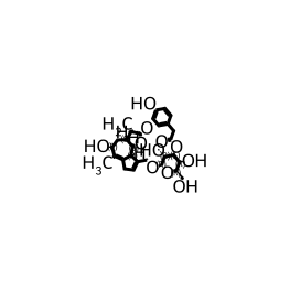 C=C1C(=O)O[C@@H]2[C@H]3C(CO[C@@H]4O[C@H](CO)[C@@H](O)[C@H](OC(=O)Cc5ccc(O)cc5)[C@H]4O)=CCC3=C(C)[C@H](O)C[C@@H]12